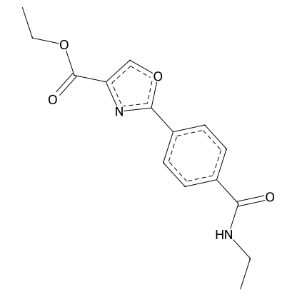 CCNC(=O)c1ccc(-c2nc(C(=O)OCC)co2)cc1